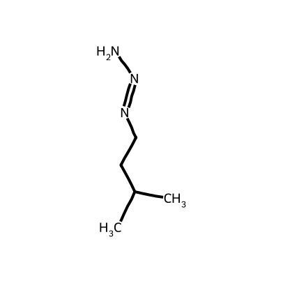 CC(C)CCN=NN